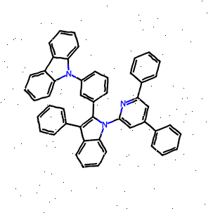 c1ccc(-c2cc(-c3ccccc3)nc(-n3c(-c4cccc(-n5c6ccccc6c6ccccc65)c4)c(-c4ccccc4)c4ccccc43)c2)cc1